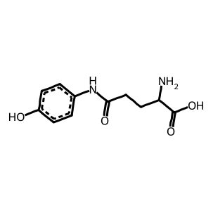 NC(CCC(=O)Nc1ccc(O)cc1)C(=O)O